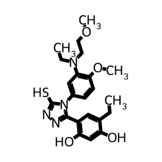 CCc1cc(-c2nnc(S)n2-c2ccc(OC)c(N(CC)CCOC)c2)c(O)cc1O